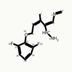 C=N/C=C(NN)\C(C)=C/COc1c(F)cccc1F